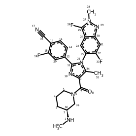 CN[C@H]1CCCN(C(=O)c2nc(-c3ccc(C#N)c(F)c3)n(-c3cc4c(F)n(C)nc4cc3F)c2C)C1